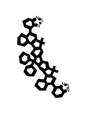 CC1(C)c2cc3c(cc2-c2c1cc(-c1cccc4nsnc14)c1ccccc21)C(c1ccccc1)(c1ccccc1)c1cc2c(cc1-3)C(C)(C)c1cc(-c3cccc4nsnc34)c3ccccc3c1-2